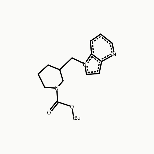 CC(C)(C)OC(=O)N1CCCC(Cn2ccc3ncccc32)C1